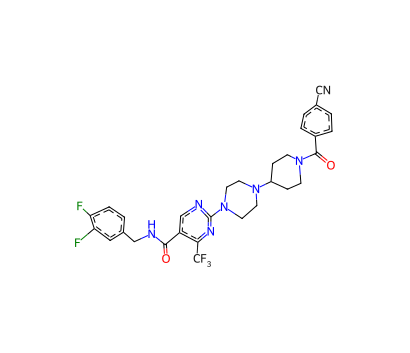 N#Cc1ccc(C(=O)N2CCC(N3CCN(c4ncc(C(=O)NCc5ccc(F)c(F)c5)c(C(F)(F)F)n4)CC3)CC2)cc1